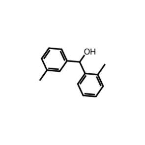 Cc1cccc(C(O)c2ccccc2C)c1